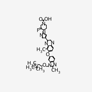 Cc1c(Oc2ccc3nc(C)n(COCC[Si](C)(C)C)c3c2)ccc2ncc(-c3cnn([C@H]4CCN(C(=O)O)C[C@@H]4F)c3)nc12